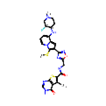 Cc1c(C(=O)NCc2nc(-c3cc4c(N[C@@H]5CCN(C)C[C@@H]5F)cccn4c3SC(F)(F)F)no2)sc2nc[nH]c(=O)c12